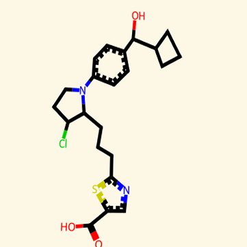 O=C(O)c1cnc(CCCC2C(Cl)CCN2c2ccc(C(O)C3CCC3)cc2)s1